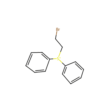 BrCC[S+](c1ccccc1)c1ccccc1